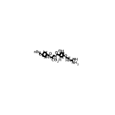 CCCCOc1ccc(C(=O)N[C@@H](CNC(=O)c2ccc(OCCNC(=N)N)cc2O)C(=O)O)cc1